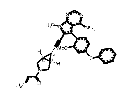 C=CC(=O)N1C[C@@H]2[C@@H](C#Cc3c(-c4ccc(Oc5ccccc5)cc4OC)c4c(N)ncnc4n3C)[C@@H]2C1